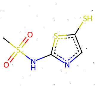 CS(=O)(=O)Nc1ncc(S)s1